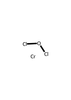 ClOCl.[Cr]